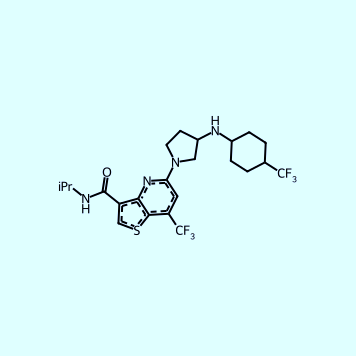 CC(C)NC(=O)c1csc2c(C(F)(F)F)cc(N3CCC(NC4CCC(C(F)(F)F)CC4)C3)nc12